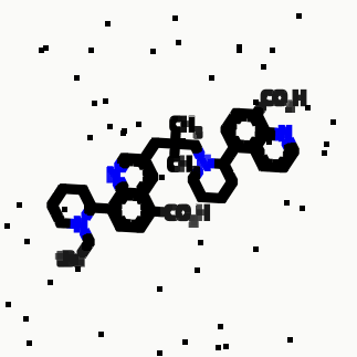 CC(C)(C)CN1CCCCC1c1ccc(C(=O)O)c2cc(CC(C)(C)CN3CCCCC3c3ccc(C(=O)O)c4ncccc34)cnc12